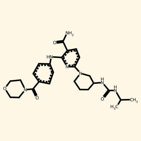 CC(C)NC(=O)NC1CCCN(c2ccc(C(N)=O)c(Nc3ccc(C(=O)N4CCOCC4)cc3)n2)C1